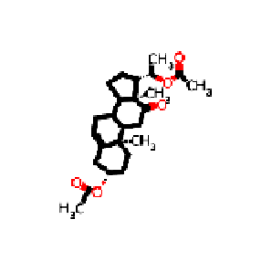 CC(=O)OC(C)[C@H]1CCC2C3CC=C4C[C@@H](OC(C)=O)CC[C@]4(C)C3CC(=O)[C@@]21C